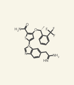 C[C@@H](Oc1cc(-n2cnc3ccc(CC(=N)N)cc32)sc1C(N)=O)c1ccccc1C(F)(F)F